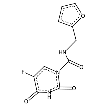 O=C(NCc1ccco1)n1cc(F)c(=O)[nH]c1=O